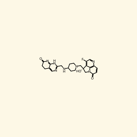 O=C1CCC2=CN=C(CNC3CCN(C[C@]4(O)Cn5c(=O)ccc6ncc(F)c4c65)CC3)NC2=N1